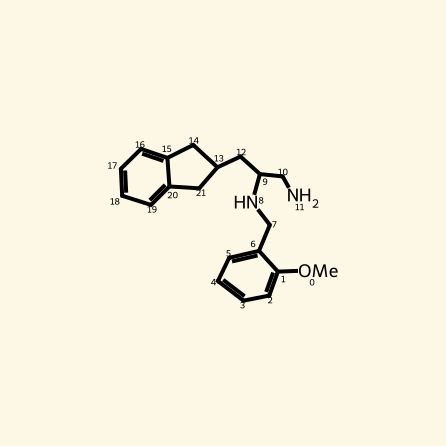 COc1ccccc1CNC(CN)CC1Cc2ccccc2C1